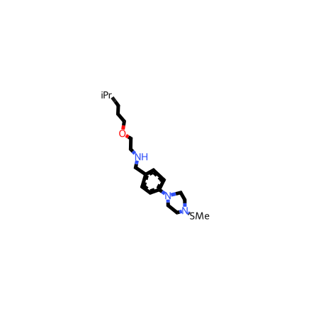 CSN1CCN(c2ccc(CNCCOCCCC(C)C)cc2)CC1